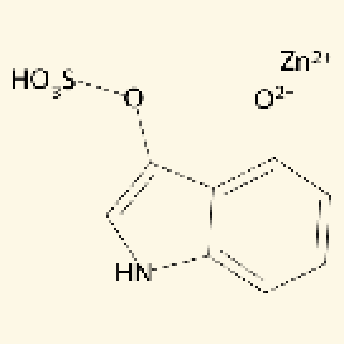 O=S(=O)(O)Oc1c[nH]c2ccccc12.[O-2].[Zn+2]